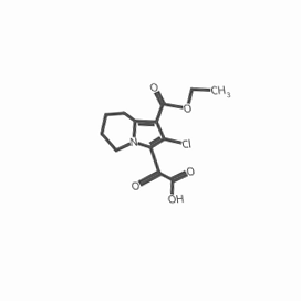 CCOC(=O)c1c(Cl)c(C(=O)C(=O)O)n2c1CCCC2